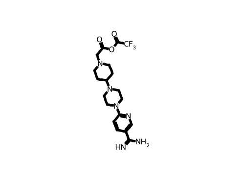 N=C(N)c1ccc(N2CCN(C3CCN(CC(=O)OC(=O)C(F)(F)F)CC3)CC2)nc1